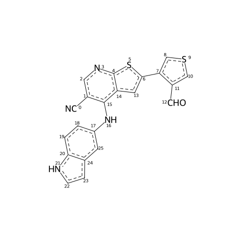 N#Cc1cnc2sc(-c3cscc3C=O)cc2c1Nc1ccc2[nH]ccc2c1